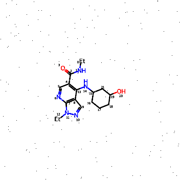 CCNC(=O)c1cnc2c(cnn2CC)c1NC1CCCC(O)C1